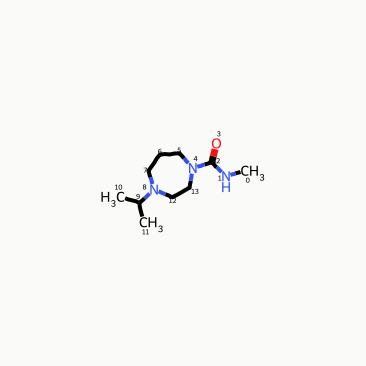 CNC(=O)N1CCCN(C(C)C)CC1